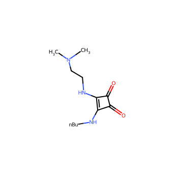 CCCCNc1c(NCCN(C)C)c(=O)c1=O